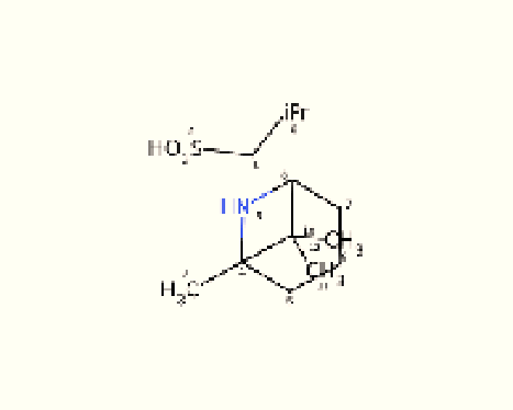 CC(C)CS(=O)(=O)O.CC12CCCC(N1)C2(C)C